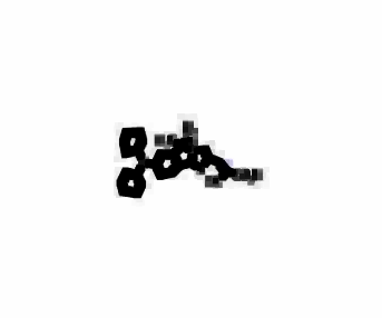 CC1(C)c2cc(N(c3ccccc3)c3ccccc3)ccc2C2=[PH]1C=C(/C=C(\C#N)C(=O)O)S2